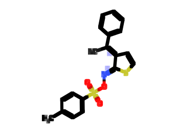 Cc1ccc(S(=O)(=O)O/N=C2\SC=C\C2=C(\C#N)c2ccccc2)cc1